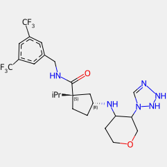 CC(C)[C@]1(C(=O)NCc2cc(C(F)(F)F)cc(C(F)(F)F)c2)CC[C@@H](NC2CCOCC2N2C=NNN2)C1